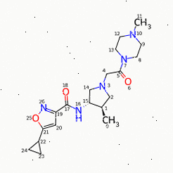 C[C@@H]1CN(CC(=O)N2CCN(C)CC2)C[C@H]1NC(=O)c1cc(C2CC2)on1